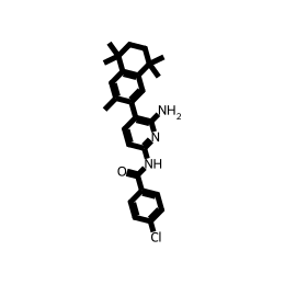 Cc1cc2c(cc1-c1ccc(NC(=O)c3ccc(Cl)cc3)nc1N)C(C)(C)CCC2(C)C